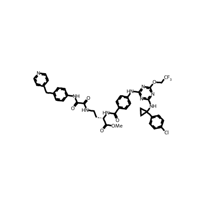 COC(=O)[C@H](CCNC(=O)C(=O)Nc1ccc(Cc2ccncc2)cc1)NC(=O)c1ccc(Nc2nc(NC3(c4ccc(Cl)cc4)CC3)nc(OCC(F)(F)F)n2)cc1